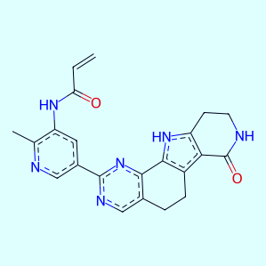 C=CC(=O)Nc1cc(-c2ncc3c(n2)-c2[nH]c4c(c2CC3)C(=O)NCC4)cnc1C